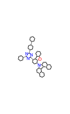 c1ccc(-c2ccc(-c3nc(-c4ccccc4)nc(-c4ccc(-n5c6ccc7ccccc7c6c6c7ccccc7ccc65)c5oc6ccccc6c45)n3)cc2)cc1